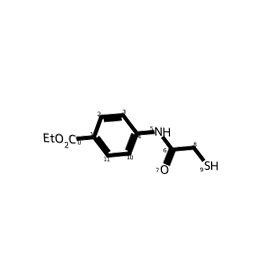 CCOC(=O)c1ccc(NC(=O)CS)cc1